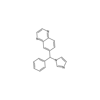 c1ccc(C(c2ccc3nccnc3c2)n2ccnc2)cc1